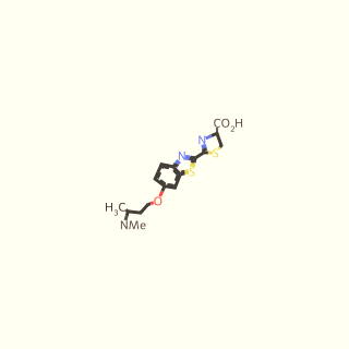 CNC(C)CCOc1ccc2nc(C3=N[C@@H](C(=O)O)CS3)sc2c1